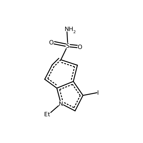 CCn1cc(I)c2cc(S(N)(=O)=O)ccc21